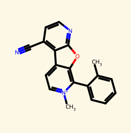 Cc1ccccc1-c1c2oc3nccc(C#N)c3c2cc[n+]1C